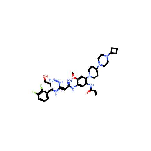 C=CC(=O)Nc1cc(NC(=N)/C=C(\NN)N[C@H](CCO)c2cccc(F)c2F)c(OC)cc1N1CCC(N2CCN(C3CCC3)CC2)CC1